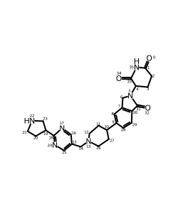 O=C1CCC(N2Cc3cc(C4CCN(Cc5cnc(C6CCNC6)nc5)CC4)ccc3C2=O)C(=O)N1